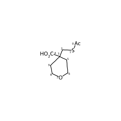 CC(=O)SCC1(C(=O)O)CCOCC1